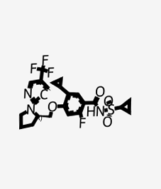 O=C(NS(=O)(=O)C1CC1)c1cc(C2CC2)c(OC[C@H]2CCCN2c2ccc(C(F)(F)F)cn2)cc1F